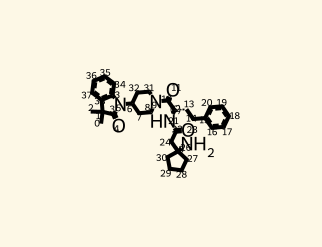 CC1(C)C(=O)N(C2CCN(C(=O)[C@H](CCc3ccccc3)NC(=O)CC3(N)CCCC3)CC2)c2ccccc21